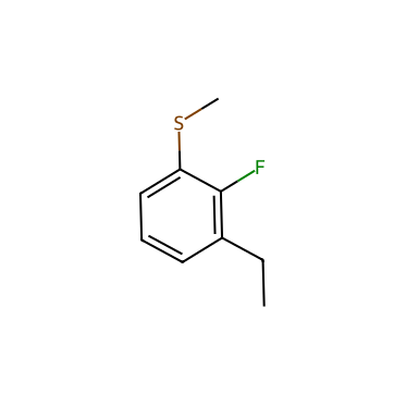 CCc1cccc(SC)c1F